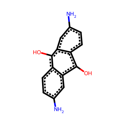 Nc1ccc2c(O)c3cc(N)ccc3c(O)c2c1